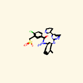 Cc1ccc(NC(=O)c2ccc(Cl)c(C[SH](=O)=O)c2)cc1Nc1nccc(-c2cccnc2)n1